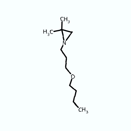 CCCCOCCCN1CC1(C)C